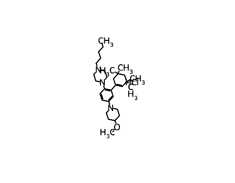 CCCCCN1CCN(c2ccc(N3CCC(OC)CC3)cc2C2=CC(C)(C)CC(C)(C)C2)CC1.Cl